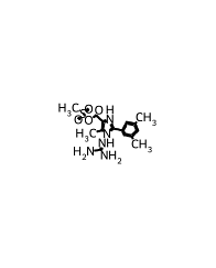 Cc1cc(C)cc(-c2nc(C)c(C(=O)OS(C)(=O)=O)[nH]2)c1.N=C(N)N